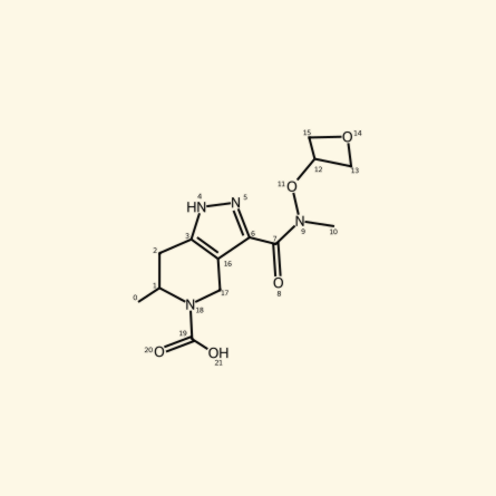 CC1Cc2[nH]nc(C(=O)N(C)OC3COC3)c2CN1C(=O)O